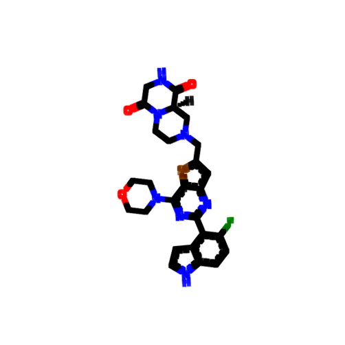 O=C1NCC(=O)N2CCN(Cc3cc4nc(-c5c(F)ccc6[nH]ccc56)nc(N5CCOCC5)c4s3)C[C@H]12